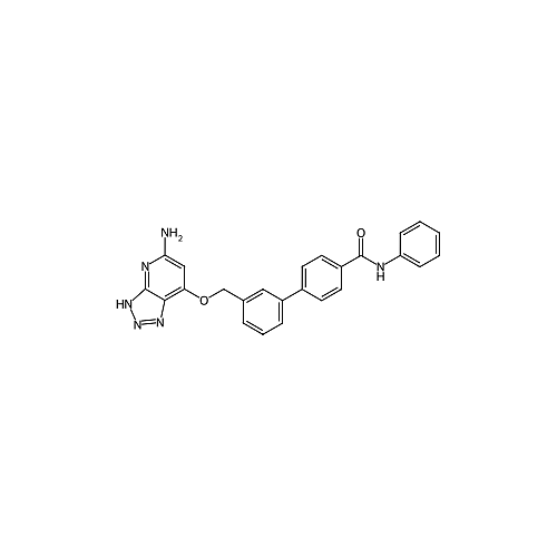 Nc1cc(OCc2cccc(-c3ccc(C(=O)Nc4ccccc4)cc3)c2)c2nn[nH]c2n1